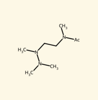 CC(=O)N(C)CCN(C)N(C)C